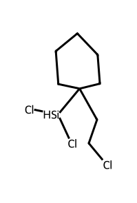 ClCCC1([SiH](Cl)Cl)CCCCC1